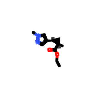 CCOC(=O)[C@@]1(C)C[C@@H]1c1cnn(C)c1